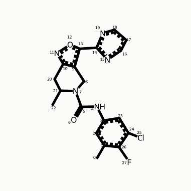 Cc1cc(NC(=O)N2Cc3c(noc3-c3ncccn3)CC2C)cc(Cl)c1F